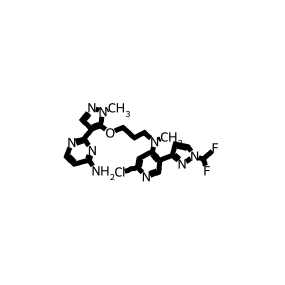 CN(CCCOc1c(-c2nccc(N)n2)cnn1C)c1cc(Cl)ncc1-c1ccn(C(F)F)n1